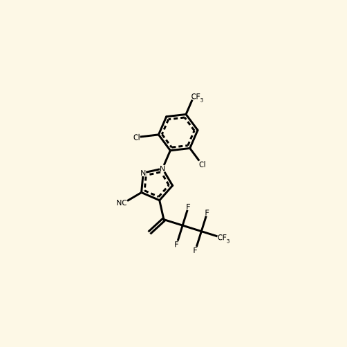 C=C(c1cn(-c2c(Cl)cc(C(F)(F)F)cc2Cl)nc1C#N)C(F)(F)C(F)(F)C(F)(F)F